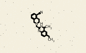 C=C1NC(CN2CCc3c(C#N)cccc3C2)=Nc2ccc(CC)cc21